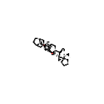 Cc1noc(N2C3CCC2CC(N2CCC(C(=O)NC4(C)CCCC4)CC2)C3)n1